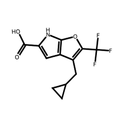 O=C(O)c1cc2c(CC3CC3)c(C(F)(F)F)oc2[nH]1